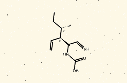 C=C[C@H](C(C=N)NC(=O)O)[C@@H](C)CC